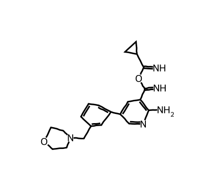 N=C(OC(=N)C1CC1)c1cc(-c2cccc(CN3CCOCC3)c2)cnc1N